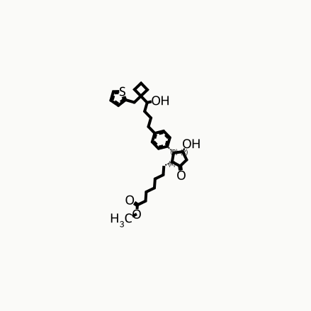 COC(=O)CCCCCC[C@H]1C(=O)C[C@@H](O)[C@H]1c1ccc(CCCC(O)C2(Cc3cccs3)CCC2)cc1